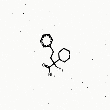 CC(CCc1ccccc1)(C(N)=O)C1CCCCC1